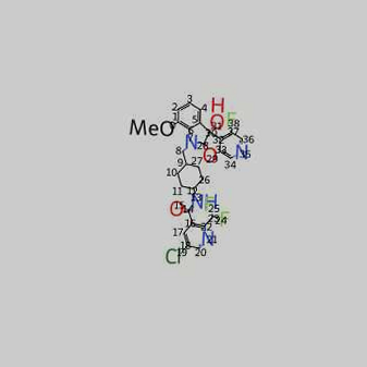 COc1cccc2c1N(CC1CCC(NC(=O)c3cc(Cl)cnc3C(F)F)CC1)C(=O)C2(O)c1ccncc1F